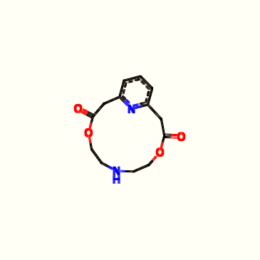 O=C1Cc2cccc(n2)CC(=O)OCCNCCO1